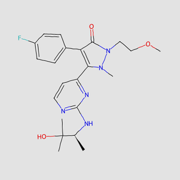 COCCn1c(=O)c(-c2ccc(F)cc2)c(-c2ccnc(N[C@@H](C)C(C)(C)O)n2)n1C